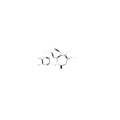 Cc1ccc(CN2C(=O)CC(C(=O)O)=C(Br)c3ccc(C#N)cc32)cc1C